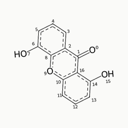 O=c1c2cccc(O)c2oc2cccc(O)c12